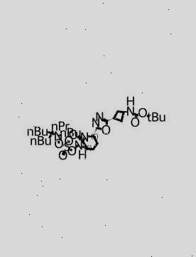 CCCCN(OS(=O)(=O)ON1C(=O)N2C[C@@H]1CC[C@H]2c1nnc([C@H]2C[C@H](NC(=O)OC(C)(C)C)C2)o1)C(CCC)(CCCC)CCCC